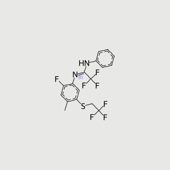 Cc1cc(F)c(/N=C(/Nc2ccccc2)C(F)(F)F)cc1SCC(F)(F)F